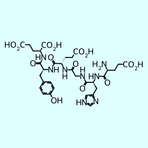 N[C@@H](CCC(=O)O)C(=O)N[C@@H](Cc1c[nH]cn1)C(=O)NCC(=O)N[C@@H](CCC(=O)O)C(=O)N[C@@H](Cc1ccc(O)cc1)C(=O)N[C@@H](CCC(=O)O)C(=O)O